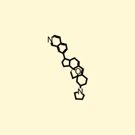 C1=C2CCC(N3CCCC3)CC23CC[C@@]2(O3)C1=CCC1C(c3ccc4ccncc4c3)CCC12